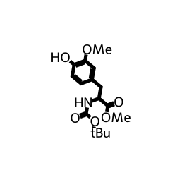 COC(=O)C(Cc1ccc(O)c(OC)c1)NC(=O)OC(C)(C)C